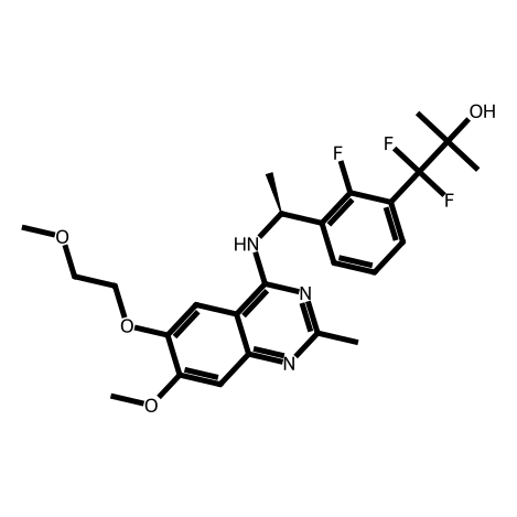 COCCOc1cc2c(N[C@@H](C)c3cccc(C(F)(F)C(C)(C)O)c3F)nc(C)nc2cc1OC